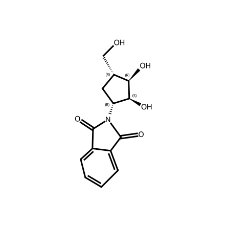 O=C1c2ccccc2C(=O)N1[C@@H]1C[C@H](CO)[C@@H](O)[C@H]1O